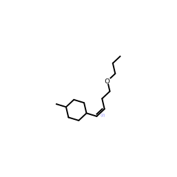 CCCOCC/C=C\C1CCC(C)CC1